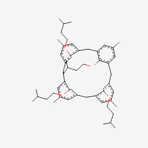 CC(C)CCOc1c2cc(I)cc1Cc1cc(I)cc(c1OCCC(C)C)Cc1cc(I)cc(c1OCCC(C)C)Cc1cc(I)cc(c1OCCC(C)C)C2